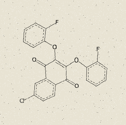 O=C1C(Oc2ccccc2F)=C(Oc2ccccc2F)C(=O)c2cc(Cl)ccc21